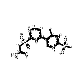 Cc1nc(S(C)(=O)=O)n[c]c1-c1ccnc(S(=O)(=O)CC(=O)O)n1